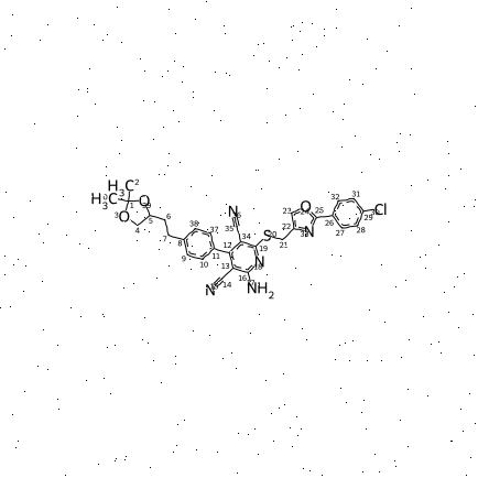 CC1(C)OCC(CCc2ccc(-c3c(C#N)c(N)nc(SCc4coc(-c5ccc(Cl)cc5)n4)c3C#N)cc2)O1